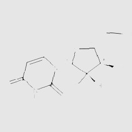 O=c1ccn([C@@H]2O[C@H](CO)[C@@H](O)[C@]2(O)F)c(=S)[nH]1